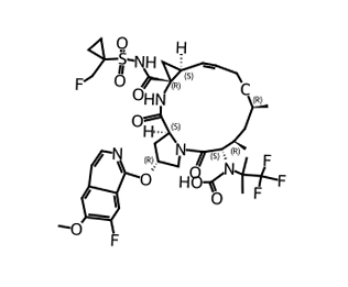 COc1cc2ccnc(O[C@@H]3C[C@H]4C(=O)N[C@]5(C(=O)NS(=O)(=O)C6(CF)CC6)C[C@H]5C=CCC[C@@H](C)C[C@@H](C)[C@H](N(C(=O)O)C(C)(C)C(F)(F)F)C(=O)N4C3)c2cc1F